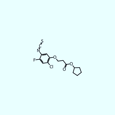 O=C(CCOc1cc(N=C=S)c(F)cc1Cl)OC1CCCC1